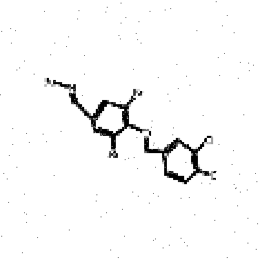 CCC(C)N=Cc1cc(Br)c(OCc2ccc(Cl)c(Cl)c2)c(Br)c1